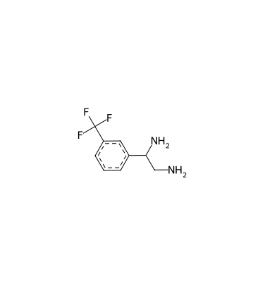 NCC(N)c1cccc(C(F)(F)F)c1